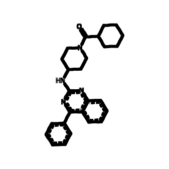 O=C(C1CCCCC1)N1CCC(Nc2nc(-c3ccccc3)c3ccccc3n2)CC1